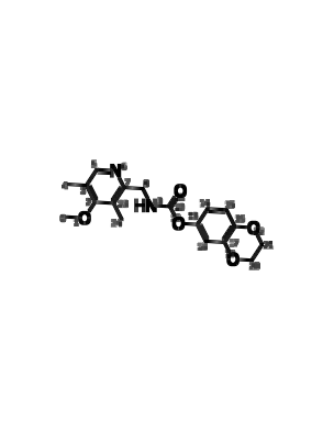 COc1c(C)cnc(CNC(=O)Oc2ccc3c(c2)OCCO3)c1C